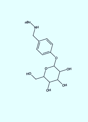 CCCCNCc1ccc(OC2OC(CO)C(O)C(O)C2O)cc1